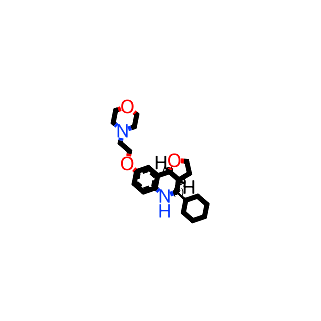 c1cc2c(cc1OCCN1CCOCC1)[C@H]1OCC[C@H]1[C@@H](C1CCCCC1)N2